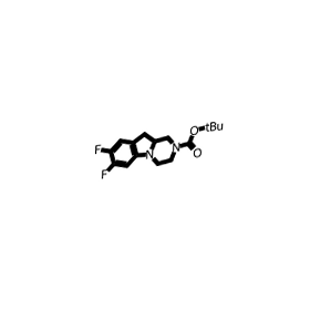 CC(C)(C)OC(=O)N1CCN2c3cc(F)c(F)cc3CC2C1